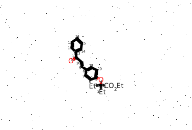 CCOC(=O)C(CC)(CC)Oc1ccc(C=CC(=O)c2ccccc2)cc1